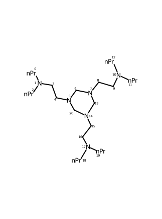 CCCN(CCC)CCN1CN(CCN(CCC)CCC)CN(CCN(CCC)CCC)C1